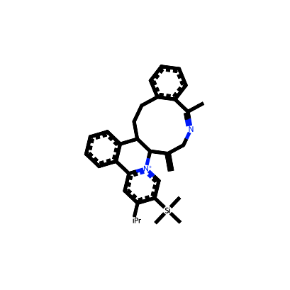 C=C1C/N=C(/C)c2ccccc2CCC2c3ccccc3-c3cc(C(C)C)c([Si](C)(C)C)c[n+]3C12